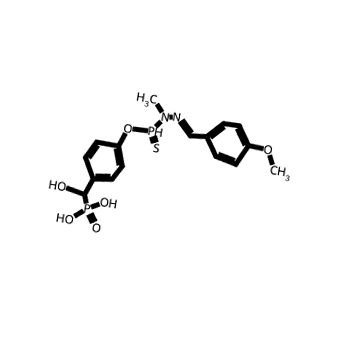 COc1ccc(/C=N/N(C)[PH](=S)Oc2ccc(C(O)P(=O)(O)O)cc2)cc1